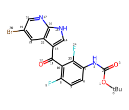 CC(C)(C)OC(=O)Nc1ccc(F)c(C(=O)c2c[nH]c3ncc(Br)cc23)c1F